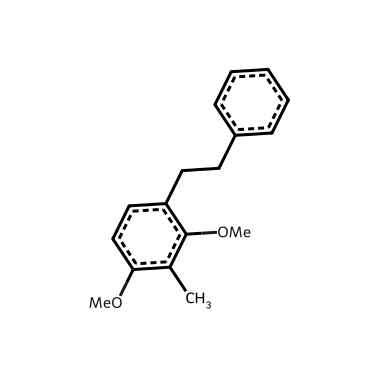 COc1ccc(CCc2ccccc2)c(OC)c1C